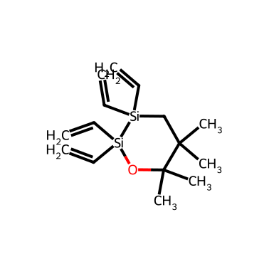 C=C[Si]1(C=C)CC(C)(C)C(C)(C)O[Si]1(C=C)C=C